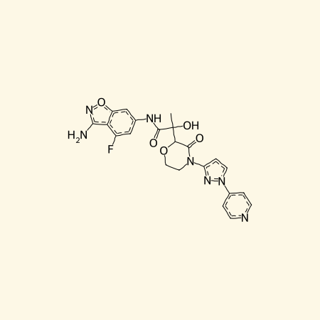 CC(O)(C(=O)Nc1cc(F)c2c(N)noc2c1)C1OCCN(c2ccn(-c3ccncc3)n2)C1=O